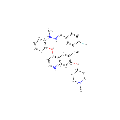 COc1cc2c(Oc3ccccc3N(C=O)N=Cc3ccc(F)cc3)ccnc2cc1OC1CCN(C(C)=O)CC1